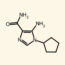 NC(=O)c1ncn(C2CCCC2)c1N